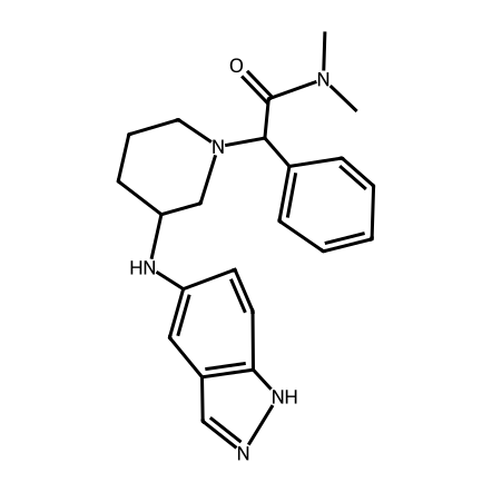 CN(C)C(=O)C(c1ccccc1)N1CCCC(Nc2ccc3[nH]ncc3c2)C1